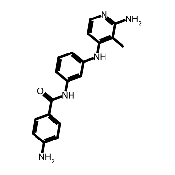 Cc1c(Nc2cccc(NC(=O)c3ccc(N)cc3)c2)ccnc1N